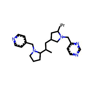 CC(C)C1CC(CC(C)C2CCCN2Cc2ccncc2)CN1Cc1ccncn1